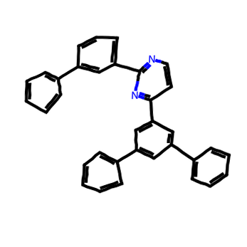 c1ccc(-c2cc(-c3ccccc3)cc(-c3ccnc(-c4cccc(-c5ccccc5)c4)n3)c2)cc1